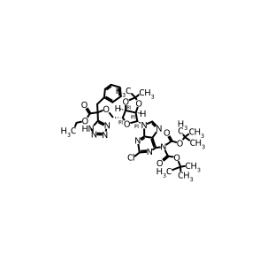 CCOC(=O)C(Cc1ccccc1)(OC[C@H]1O[C@@H](n2cnc3c(N(C(=O)OC(C)(C)C)C(=O)OC(C)(C)C)nc(Cl)nc32)[C@@H]2OC(C)(C)O[C@@H]21)c1nnn[nH]1